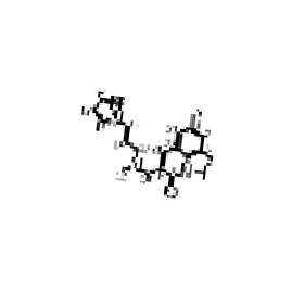 Cc1cc(C)c2[nH]c(=O)c(CN(C)CCCn3cccn3)cc2c1